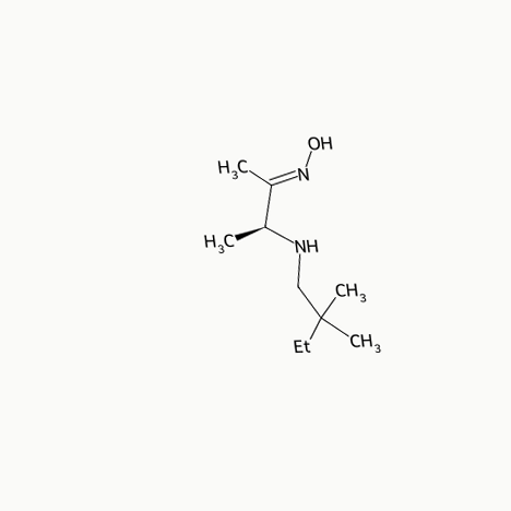 CCC(C)(C)CN[C@@H](C)/C(C)=N/O